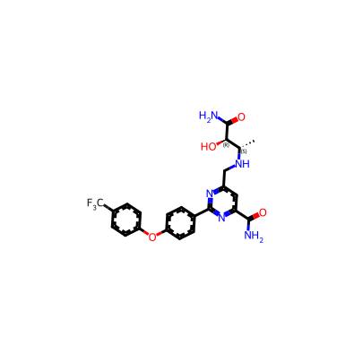 C[C@H](NCc1cc(C(N)=O)nc(-c2ccc(Oc3ccc(C(F)(F)F)cc3)cc2)n1)[C@@H](O)C(N)=O